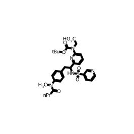 CCCC(=O)N(C)c1ccc(CC(NS(=O)(=O)c2cccnc2)c2cccc(N(CC(=O)O)C(=O)OC(C)(C)C)n2)cc1